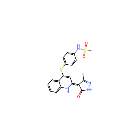 CC1=NNC(=O)/C1=C1/C=C(Sc2ccc(NS(C)(=O)=O)cc2)c2ccccc2N1